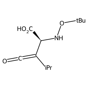 CC(C)C(=C=O)[C@H](NOC(C)(C)C)C(=O)O